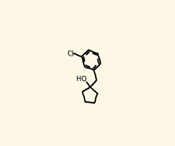 OC1(Cc2cccc(Cl)c2)CCCC1